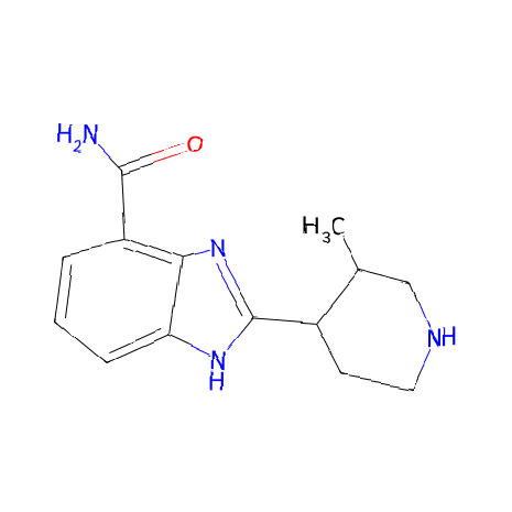 CC1CNCCC1c1nc2c(C(N)=O)cccc2[nH]1